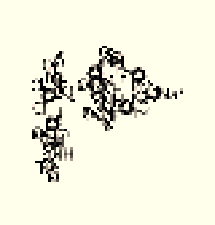 CCOC(=O)C1=NN(c2ccc(Cl)cc2Cl)C(C)(C(=O)OCC)C1.COC(=O)c1ccc(CNS(C)(=O)=O)cc1S(=O)(=O)NC(=O)Nc1nc(OC)cc(OC)n1.COC(=O)c1ccc(I)cc1S(=O)(=O)[N-]C(=O)Nc1nc(C)nc(OC)n1.O=C(Nc1ccc(F)cc1F)c1cccnc1Oc1cccc(C(F)(F)F)c1.[Na+]